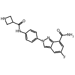 NC(=O)c1cc(F)cc2cn(-c3ccc(NC(=O)C4CNC4)cc3)nc12